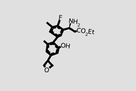 CCOC(=O)C[C@H](N)c1cc(-c2c(C)cc(C3COC3)cc2O)cc(C)c1F